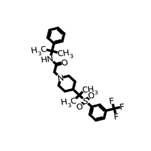 CC(C)(NC(=O)CN1CCC(C(C)(C)S(=O)(=O)c2cccc(C(F)(F)F)c2)CC1)c1ccccc1